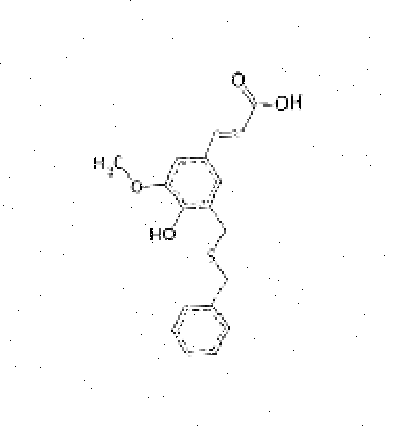 COc1cc(/C=C/C(=O)O)cc(CSCc2ccccc2)c1O